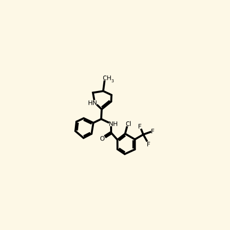 CC1CC=C(C(NC(=O)c2cccc(C(F)(F)F)c2Cl)c2ccccc2)NC1